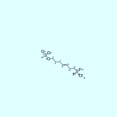 CS(=O)(=O)OCCCC=CCCC(F)(F)C(F)(F)F